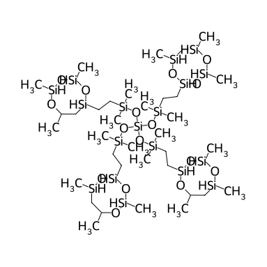 CC1C[SiH](CC[Si](C)(C)O[Si](O[Si](C)(C)CC[SiH]2OC(C)C[SiH](C)O[SiH](C)O2)(O[Si](C)(C)CC[SiH]2O[SiH](C)CC(C)O[SiH](C)O2)O[Si](C)(C)CC[SiH]2O[SiH](C)C[SiH](C)O[SiH](C)O2)O[SiH](C)O[SiH](C)O1